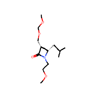 COCCN1C(=O)[C@H](COCOC)[C@@H]1CC(C)C